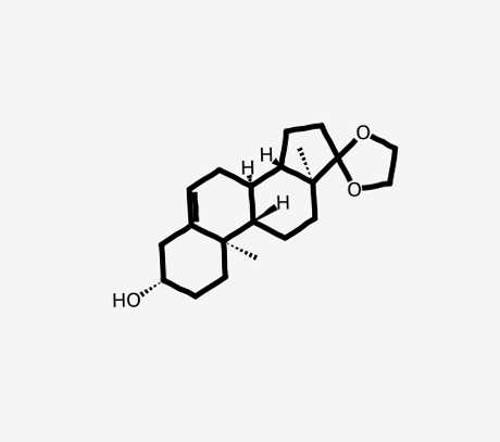 C[C@]12CC[C@H](O)CC1=CC[C@@H]1[C@@H]2CC[C@@]2(C)[C@H]1CCC21OCCO1